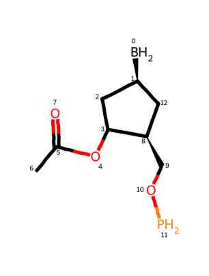 B[C@@H]1CC(OC(C)=O)[C@H](COP)C1